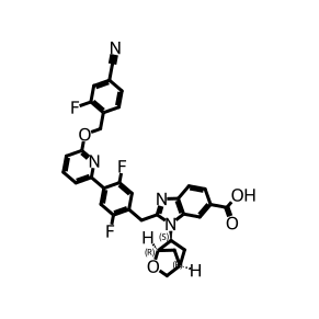 N#Cc1ccc(COc2cccc(-c3cc(F)c(Cc4nc5ccc(C(=O)O)cc5n4[C@H]4C[C@H]5CO[C@@H]4C5)cc3F)n2)c(F)c1